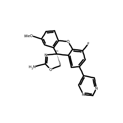 COc1ccc2c(c1)[C@@]1(COC(N)=N1)c1cc(-c3cncnc3)cc(F)c1O2